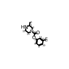 CC1CN(C(=O)Oc2cccc(F)c2)CCN1